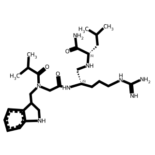 CC(C)C[C@H](NC[C@H](CCCNC(=N)N)NC(=O)CN(CC1CNc2ccccc21)C(=O)C(C)C)C(N)=O